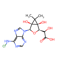 CC1(C)[C@]2(O)[C@@H](C(O)C(=O)O)O[C@@H](n3cnc4c(NCl)ncnc43)[C@]12O